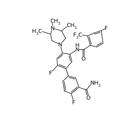 CC1CN(c2cc(F)c(-c3ccc(F)c(C(N)=O)c3)cc2NC(=O)c2ccc(F)cc2C(F)(F)F)CC(C)N1C